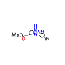 COC(=O)CCc1ccc2[nH]c(Nc3ccc(C(C)C)cc3)nc2c1